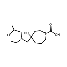 CCN(CC(C)Cl)CC1(O)CCCN(C(=O)O)CC1